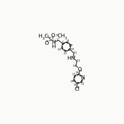 C[C@@H](NS(C)(=O)=O)c1ccc(CNCCOc2ccc(Cl)cn2)cc1